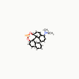 CN(C)c1cccc2c1ccc1o[pH]oc3ccc4ccccc4c3c12